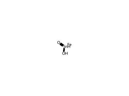 [Fe].[O]=[SnH][OH]